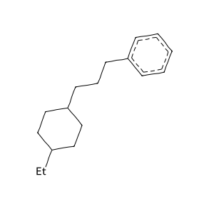 CCC1CCC(CCCc2ccccc2)CC1